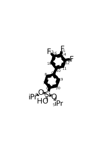 CC(C)O[Si](O)(OC(C)C)c1ccc(-c2cc(F)c(F)c(F)c2)cc1